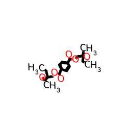 CCC1(COC(=O)c2ccc(C(=O)OCC3(CC)OC3C)cc2)OC1C